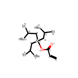 C=CC(=O)O[Si](CC(CC)CCCC)(CC(CC)CCCC)CC(CC)CCCC